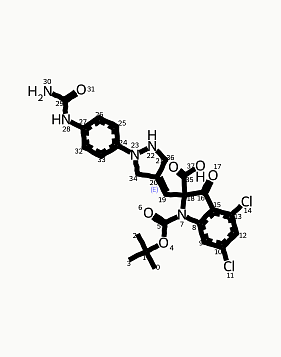 CC(C)(C)OC(=O)N1c2cc(Cl)cc(Cl)c2C(=O)C1(/C=C1\CNN(c2ccc(NC(N)=O)cc2)C1)C(=O)O